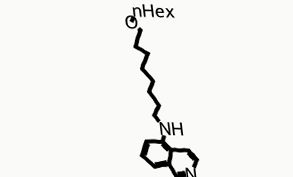 CCCCCCOCCCCCCCCNc1cccc2cnccc12